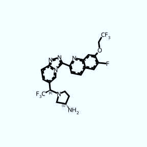 N[C@H]1CCN([C@H](c2ccc3nnc(-c4ccc5cc(F)c(OCC(F)(F)F)cc5n4)n3c2)C(F)(F)F)C1